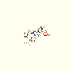 COC(=O)N1c2ccc3c(nc([C@@H](C)Cc4ccccc4)n3C3CCC(C(=O)O)CC3)c2CC[C@@H]1C